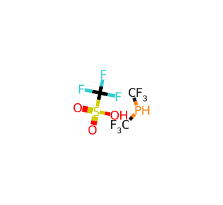 FC(F)(F)PC(F)(F)F.O=S(=O)(O)C(F)(F)F